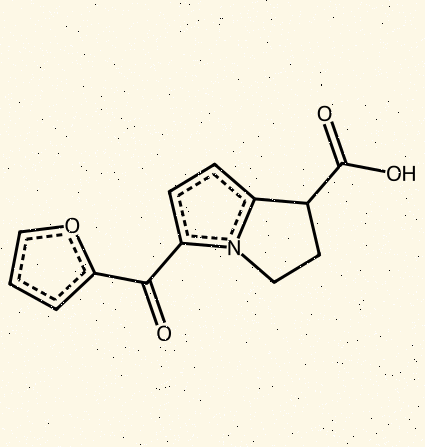 O=C(c1ccco1)c1ccc2n1CCC2C(=O)O